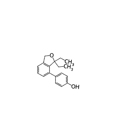 CCC1(CC)OCc2cccc(-c3ccc(O)cc3)c21